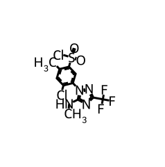 CNc1nc(C(F)(F)F)nn1-c1cc(S(=O)(=O)Cl)c(C)cc1Cl